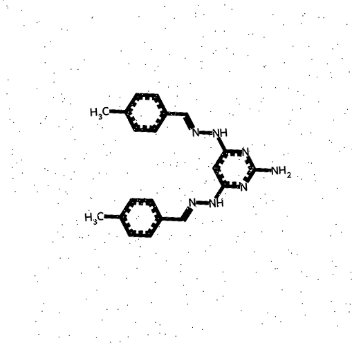 Cc1ccc(C=NNc2cc(NN=Cc3ccc(C)cc3)nc(N)n2)cc1